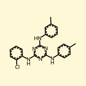 Cc1ccc(Nc2nc(Nc3cccc(C)c3)nc(Nc3ccccc3Cl)n2)cc1